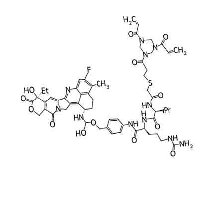 C=CC(=O)N1CN(C(=O)C=C)CN(C(=O)CCSCC(=O)N[C@H](C(=O)N[C@@H](CCCNC(N)=O)C(=O)Nc2ccc(COC(O)N[C@H]3CCc4c(C)c(F)cc5nc6c(c3c45)Cn3c-6cc4c(c3=O)COC(=O)[C@]4(O)CC)cc2)C(C)C)C1